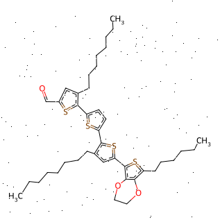 CCCCCCCCc1cc(C=O)sc1-c1ccc(-c2sc(-c3sc(CCCCCC)c4c3OCCO4)cc2CCCCCCCC)s1